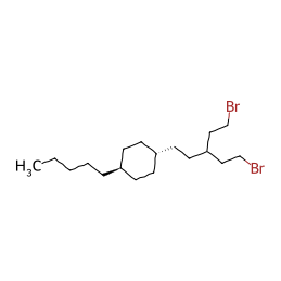 CCCCC[C@H]1CC[C@H](CCC(CCBr)CCBr)CC1